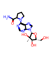 C[C@@]1(O)[C@H](O)[C@@H](CO)O[C@H]1n1cnc2c(N3CCCC3C(N)=O)ncnc21